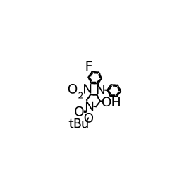 CC(C)(C)OC(=O)N1CCC(N(c2ccccc2)c2ccc(F)cc2[N+](=O)[O-])C(O)C1